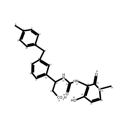 Cc1ccc(Cc2cccc(C(CC(=O)O)NC(=O)Nc3c(O)ccn(C)c3=O)c2)cc1